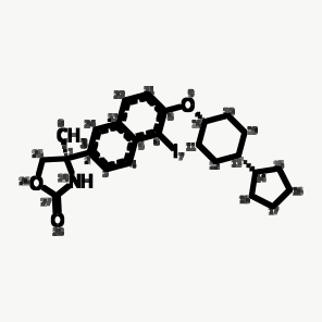 C[C@@]1(c2ccc3c(I)c(O[C@H]4CC[C@@H](C5CCCC5)CC4)ccc3c2)COC(=O)N1